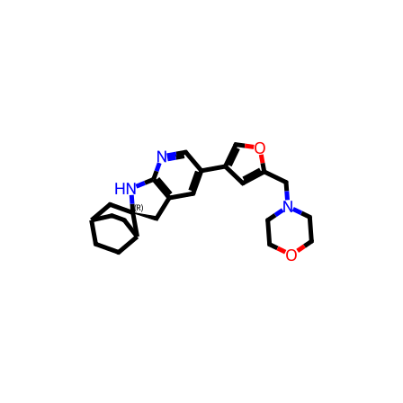 c1nc2c(cc1-c1coc(CN3CCOCC3)c1)C[C@@]1(CC3CCC1CC3)N2